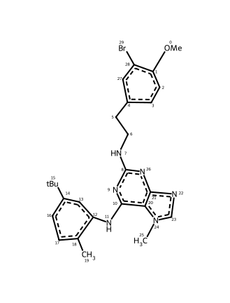 COc1ccc(CCNc2nc(Nc3cc(C(C)(C)C)ccc3C)c3c(ncn3C)n2)cc1Br